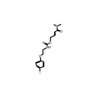 CN(C)C(=O)/C=C/COC(=O)NCCOc1ccc(I)cc1